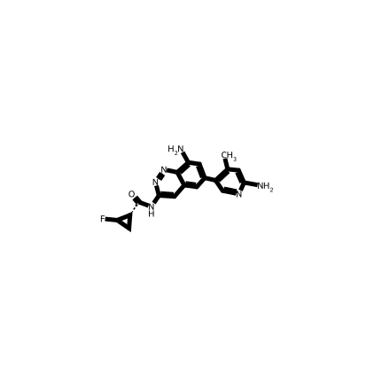 Cc1cc(N)ncc1-c1cc(N)c2nnc(NC(=O)[C@@H]3CC3F)cc2c1